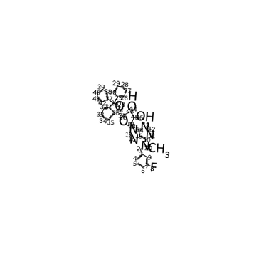 CN(Cc1cccc(F)c1)c1ncnc2c1ncn2[C@@H]1O[C@H](COC(c2ccccc2)(c2ccccc2)c2ccccc2)[C@@H](O)[C@H]1O